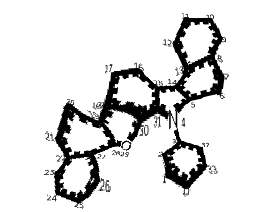 c1ccc(-n2c3ccc4ccccc4c3c3ccc4c5ccc6ccccc6c5oc4c32)cc1